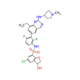 CCc1cc(-c2c(F)ccc(NS(=O)(=O)c3cc(Cl)cc4c3OCC4O)c2F)cc2cnc(NC3CCN(C)CC3)nc12